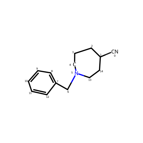 N#CC1CCCN(Cc2ccccc2)CC1